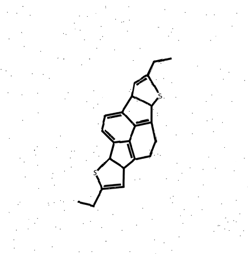 CCC1=CC2c3ccc4c5c3=C(CCC=5C3C=C(CC)SC43)C2S1